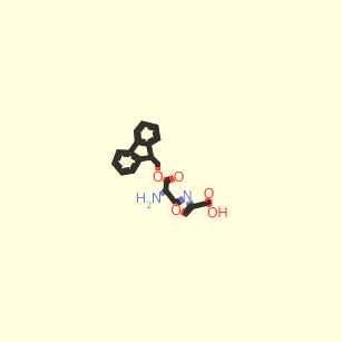 NC(C(=O)OCC1c2ccccc2-c2ccccc21)c1nc(C(=O)O)co1